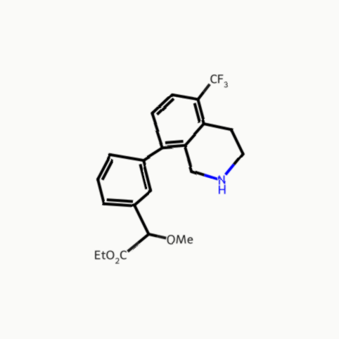 CCOC(=O)C(OC)c1cccc(-c2ccc(C(F)(F)F)c3c2CNCC3)c1